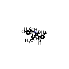 CC(C)CC[N+]1=C(/C=C2\C(=O)C(c3c[nH]c4ccc(C#N)cc34)=C2O)C(C)(C)c2cc(Cl)ccc21